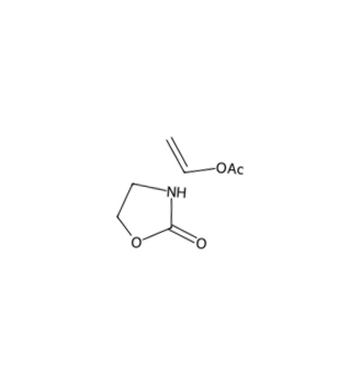 C=COC(C)=O.O=C1NCCO1